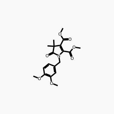 COC(=O)C1=C(C(=O)OC)C(C)(C)C(=O)N1Cc1ccc(OC)c(OC)c1